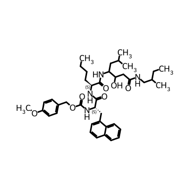 CCCC[C@H](NC(=O)[C@H](Cc1cccc2ccccc12)NC(=O)OCc1ccc(OC)cc1)C(=O)NC(CC(C)C)C(O)CC(=O)NCC(C)CC